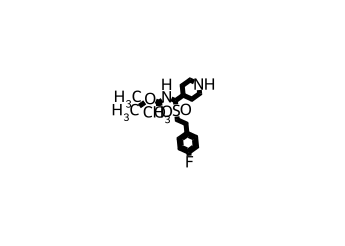 CC(C)(C)OC(=O)NC(C1CCNCC1)S(=O)(=O)CCc1ccc(F)cc1